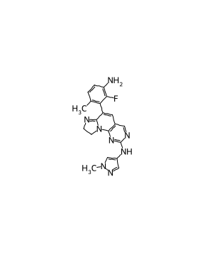 Cc1ccc(N)c(F)c1C1=Cc2cnc(Nc3cnn(C)c3)nc2N2CCN=C12